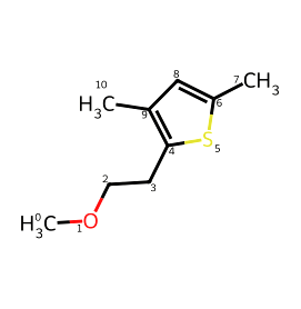 COCCc1sc(C)cc1C